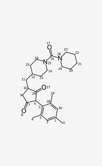 Cc1cc(C)c(C2C(=O)CC(CC3CCN(C(=O)N4CCCCC4)CC3)C2=O)c(C)c1